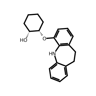 O[C@@H]1CCCC[C@@H]1Oc1cccc2c1Nc1ccccc1CC2